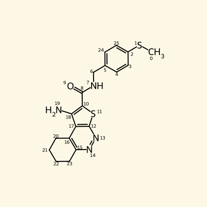 CSc1ccc(CNC(=O)c2sc3nnc4c(c3c2N)CCCC4)cc1